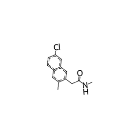 CNC(=O)Cc1cc2cc(Cl)ccc2cc1C